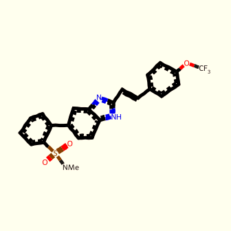 CNS(=O)(=O)c1ccccc1-c1ccc2[nH]c(C=Cc3ccc(OC(F)(F)F)cc3)nc2c1